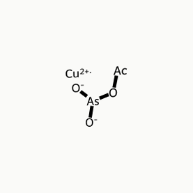 CC(=O)O[As]([O-])[O-].[Cu+2]